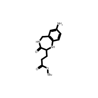 CC(C)(C)OC(=O)CCC1Nc2ccc(N)cc2CNC1=O